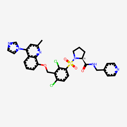 Cc1cc(-n2ccnc2)c2cccc(OCc3c(Cl)ccc(S(=O)(=O)N4CCC[C@H]4C(=O)NCc4ccncc4)c3Cl)c2n1